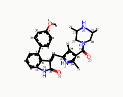 COc1ccc(-c2cccc3c2C(=Cc2[nH]c(C)c(C(=O)N4CC(C)NC(C)C4)c2C)C(=O)N3)cc1